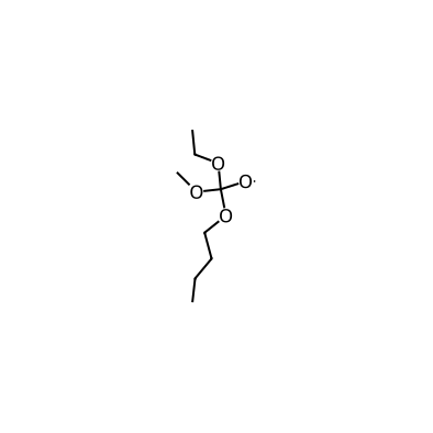 CCCCOC([O])(OC)OCC